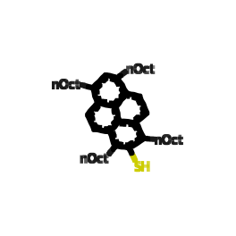 CCCCCCCCc1cc(CCCCCCCC)c2ccc3c(CCCCCCCC)c(S)c(CCCCCCCC)c4ccc1c2c43